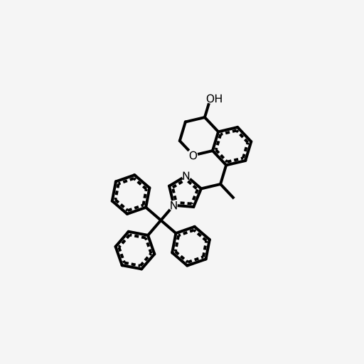 CC(c1cn(C(c2ccccc2)(c2ccccc2)c2ccccc2)cn1)c1cccc2c1OCCC2O